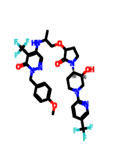 COc1ccc(Cn2ncc(NC(C)COC3CCN([C@H]4CCN(c5ccc(C(F)(F)F)cn5)C[C@@H]4O)C3=O)c(C(F)(F)F)c2=O)cc1